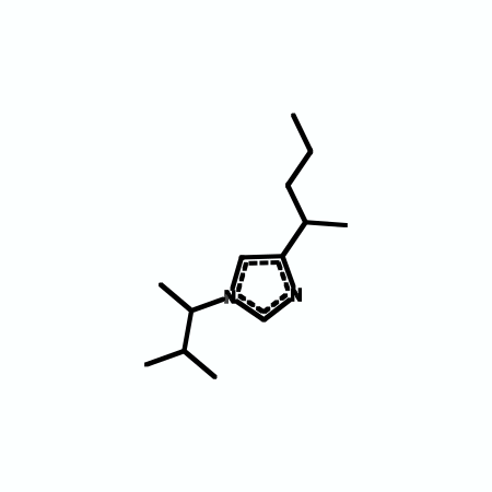 CCCC(C)c1cn(C(C)C(C)C)cn1